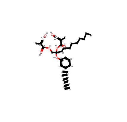 C=C.C=C.C=C.C=C.C=C.C=C.CCCCCCCCCC(COC(=O)C(C)=C=O)(OC(=O)C(C)=C=O)Oc1ccccc1